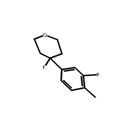 Cc1ccc(C2(F)CCOCC2)cc1F